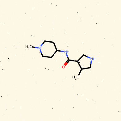 CC1CNCC1C(=O)NC1CCN(C)CC1